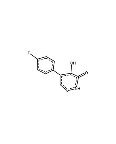 O=c1[nH]ncc(-c2ccc(F)cc2)c1O